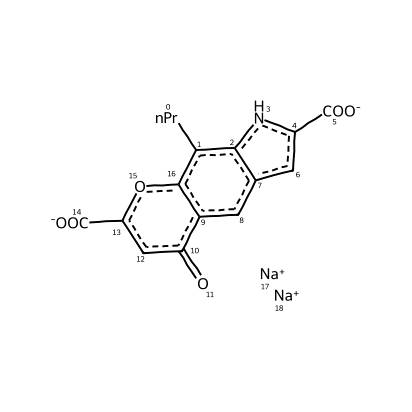 CCCc1c2[nH]c(C(=O)[O-])cc2cc2c(=O)cc(C(=O)[O-])oc12.[Na+].[Na+]